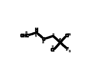 O=CNOCC(F)(Cl)Cl